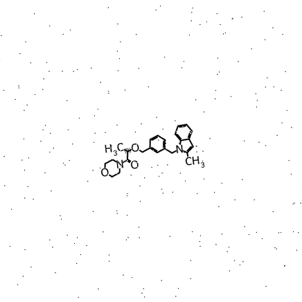 Cc1[c]c2ccccc2n1Cc1cccc(CO[C@H](C)C(=O)N2CCOCC2)c1